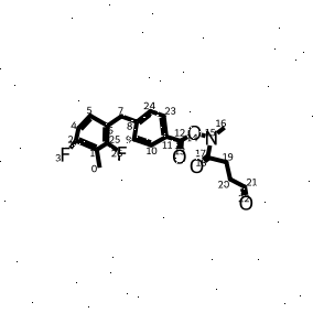 Cc1c(F)ccc(Cc2ccc(C(=O)ON(C)C(=O)CCC=O)cc2)c1F